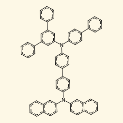 c1ccc(-c2ccc(N(c3ccc(-c4ccc(N(c5ccc6ccccc6c5)c5ccc6ccccc6c5)cc4)cc3)c3cc(-c4ccccc4)cc(-c4ccccc4)c3)cc2)cc1